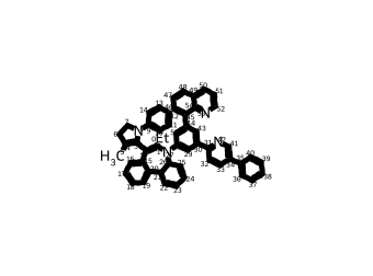 CCC1=C(C2=C(C)CCN2c2ccccc2)c2ccccc2C2C=CC=CC2N1c1cc(-c2ccc(-c3ccccc3)cn2)cc(-c2cccc3cccnc23)c1